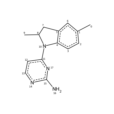 Cc1ccc2c(c1)CC(C)N2c1ccnc(N)n1